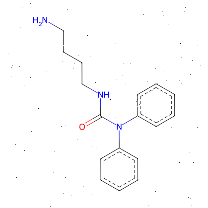 NCCCCNC(=O)N(c1ccccc1)c1ccccc1